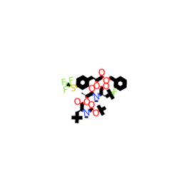 C[C@@H](OC(=O)[C@H](CC(C)(C)C)N(C)C(=O)OC(C)(C)C)C(=O)N(C)[C@@H](CC(C)(C)F)C(=O)O[C@@H](Cc1ccc(SC(F)(F)F)cc1)C(=O)OCc1ccccc1